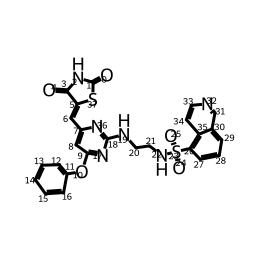 O=C1NC(=O)C(=Cc2cc(Oc3ccccc3)nc(NCCNS(=O)(=O)c3cccc4cnccc34)n2)S1